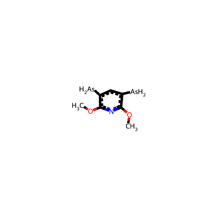 COc1nc(OC)c([AsH2])cc1[AsH2]